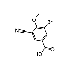 COc1c(Br)cc(C(=O)O)cc1C#N